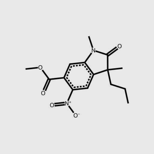 CCCC1(C)C(=O)N(C)c2cc(C(=O)OC)c([N+](=O)[O-])cc21